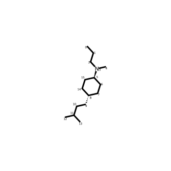 CCCN(C)[C@H]1CC[C@H](CCC(C)C)CC1